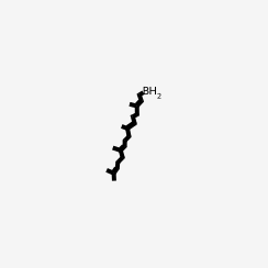 BC/C=C(\C)CC/C=C(\C)CC/C=C(\C)CCC=C(C)C